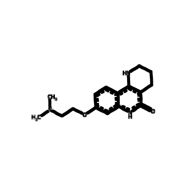 CN(C)CCOc1ccc2c3c(c(=O)[nH]c2c1)CCCN3